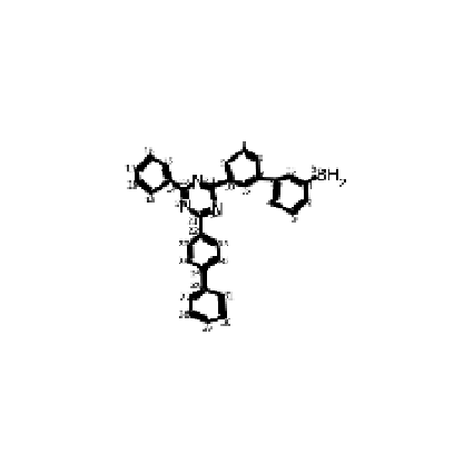 Bc1cccc(-c2cccc(-c3nc(-c4ccccc4)nc(-c4ccc(-c5ccccc5)cc4)n3)c2)c1